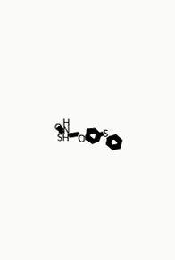 O=C(S)NCCOc1ccc(Sc2ccccc2)cc1